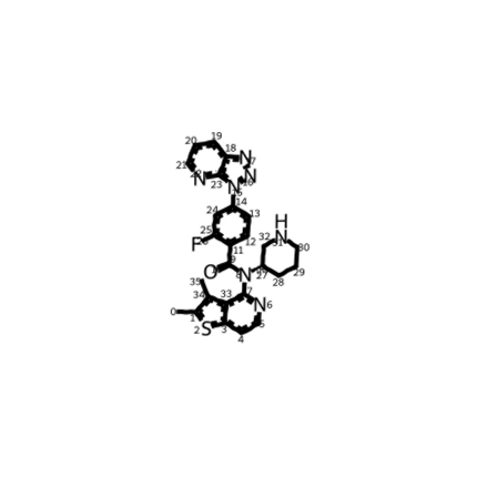 Cc1sc2ccnc(N(C(=O)c3ccc(-n4nnc5cccnc54)cc3F)[C@@H]3CCCNC3)c2c1C